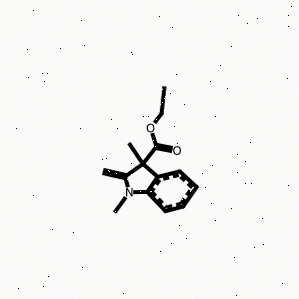 C=C1N(C)c2ccccc2C1(C)C(=O)OCC